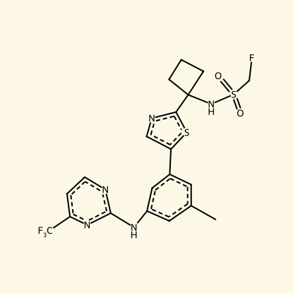 Cc1cc(Nc2nccc(C(F)(F)F)n2)cc(-c2cnc(C3(NS(=O)(=O)CF)CCC3)s2)c1